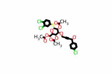 CC(=O)OCC1O[C@H](Sc2ccc(Cl)c(Cl)c2)C(OC(C)=O)C(OCC#CC(=O)c2ccc(Cl)cc2)[C@H]1OC(C)=O